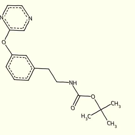 CC(C)(C)OC(=O)NCCc1cccc(Oc2cnccn2)c1